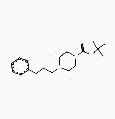 C[C@@H]1CN(C(=O)OC(C)(C)C)C[C@H](C)N1CCCc1ccccc1